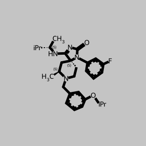 CC(C)Oc1cccc(CN2CC[C@]3(C[C@@H]2C)C(N[C@@H](C)C(C)C)=NC(=O)N3c2cccc(F)c2)c1